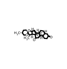 C[C@@H]1CC[C@@]2(OC1)O[C@H]1C=C3[C@@H]4CC[C@H]5CC(=O)CC[C@]5(C)[C@H]4CC(=O)[C@]3(C)[C@H]1[C@@H]2C